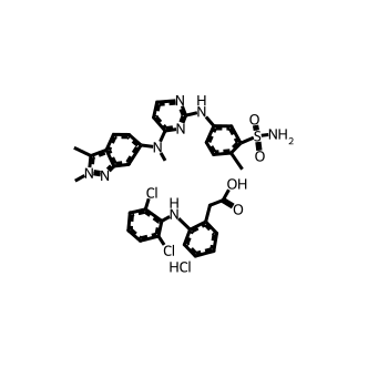 Cc1ccc(Nc2nccc(N(C)c3ccc4c(C)n(C)nc4c3)n2)cc1S(N)(=O)=O.Cl.O=C(O)Cc1ccccc1Nc1c(Cl)cccc1Cl